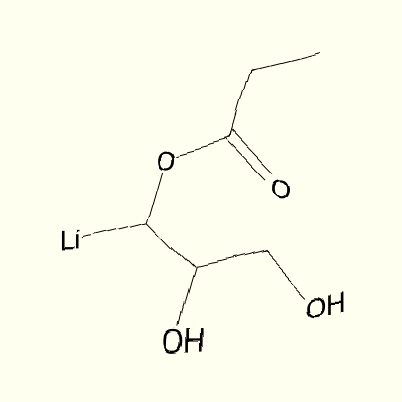 [Li][CH](OC(=O)CC)C(O)CO